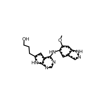 COc1cc2[nH]ncc2cc1Nc1ncnc2[nH]c(CCCO)cc12